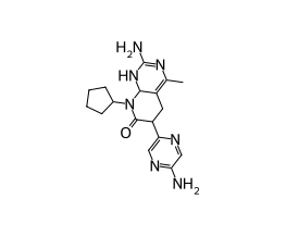 CC1=C2CC(c3cnc(N)cn3)C(=O)N(C3CCCC3)C2NC(N)=N1